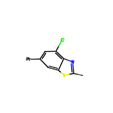 Cc1nc2c(Cl)cc(C(C)C)cc2s1